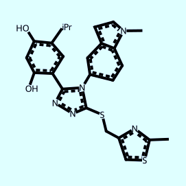 Cc1nc(CSc2nnc(-c3cc(C(C)C)c(O)cc3O)n2-c2ccc3c(ccn3C)c2)cs1